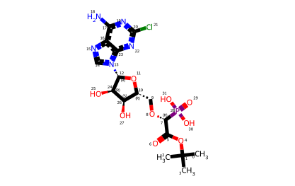 CC(C)(C)OC(=O)[C@H](OC[C@H]1O[C@@H](n2cnc3c(N)nc(Cl)nc32)[C@H](O)[C@@H]1O)P(=O)(O)O